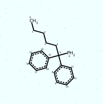 CCCCCC(P)(c1ccccc1)c1ccccc1